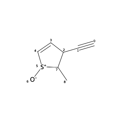 C#CC1C=C[S+]([O-])C1C